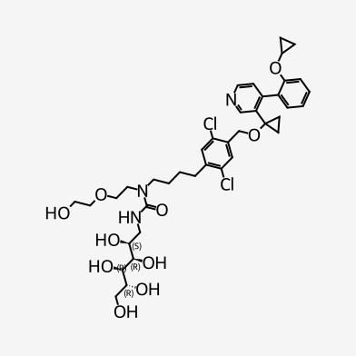 O=C(NC[C@H](O)[C@@H](O)[C@H](O)[C@H](O)CO)N(CCCCc1cc(Cl)c(COC2(c3cnccc3-c3ccccc3OC3CC3)CC2)cc1Cl)CCOCCO